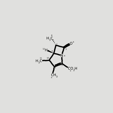 CC1=C(C(=O)O)N2C(=O)[C@@H](C)[C@H]2C1C